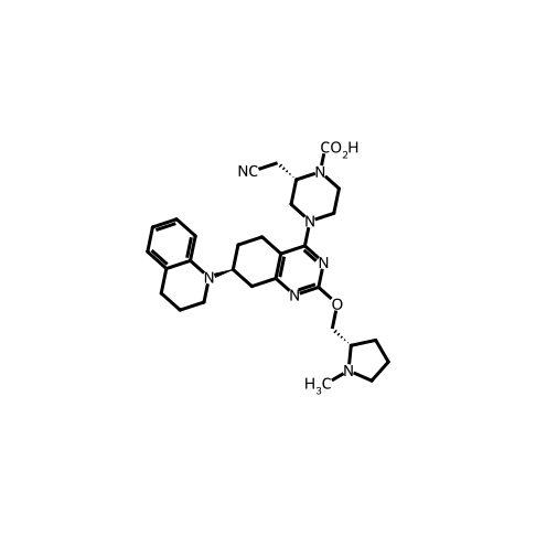 CN1CCC[C@H]1COc1nc2c(c(N3CCN(C(=O)O)[C@@H](CC#N)C3)n1)CC[C@H](N1CCCc3ccccc31)C2